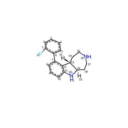 Fc1ccccc1-c1cccc2c1[C@@H]1CCNCC[C@H]1N2